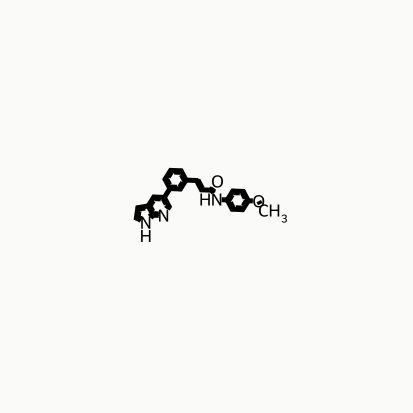 COc1ccc(NC(=O)C=Cc2cccc(-c3cnc4[nH]ccc4c3)c2)cc1